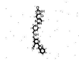 N#Cc1cc(CNCC2CCN(c3nccc(C=C4SC(=O)NC4=O)n3)CC2)cnc1-c1cc2ccccc2o1